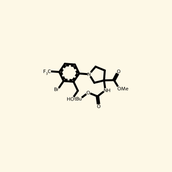 COC(=O)C1(NC(=O)OC(C)(C)C)CCN(c2ccc(C(F)(F)F)c(Br)c2CO)C1